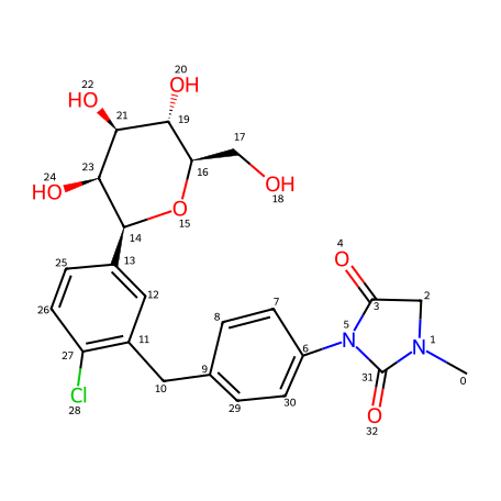 CN1CC(=O)N(c2ccc(Cc3cc([C@@H]4O[C@H](CO)[C@@H](O)[C@H](O)[C@@H]4O)ccc3Cl)cc2)C1=O